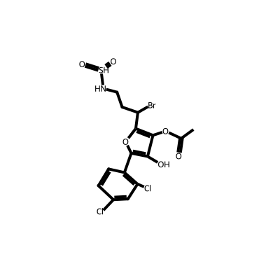 CC(=O)Oc1c(C(Br)CCN[SH](=O)=O)oc(-c2ccc(Cl)cc2Cl)c1O